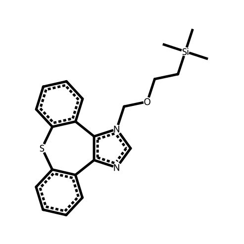 C[Si](C)(C)CCOCn1cnc2c1-c1ccccc1Sc1ccccc1-2